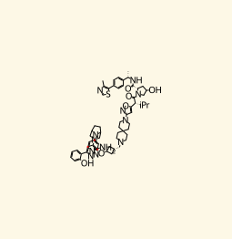 Cc1ncsc1-c1ccc([C@H](C)NC(=O)[C@@H]2C[C@@H](O)CN2C(=O)[C@@H](c2cc(N3CCC4(CCN(C[C@H]5C[C@H](Oc6cc(N7C8CCC7CN(c7cc(-c9ccccc9O)nnc7N)C8)ccn6)C5)CC4)CC3)no2)C(C)C)cc1